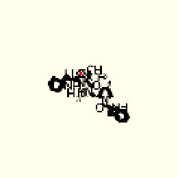 CN(C[C@@H]1CCCN1C(=O)c1cc2ccccc2[nH]1)C(=O)[C@@H](NC(=O)c1cc2ccccc2[nH]1)C(C)(C)C